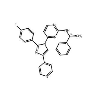 C[C@H](Nc1nccc(-n2cc(-c3ccncc3)nc2-c2ccc(F)cc2)n1)c1ccccc1